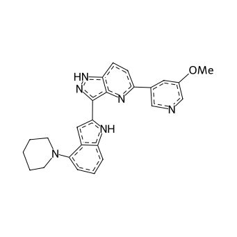 COc1cncc(-c2ccc3[nH]nc(-c4cc5c(N6CCCCC6)cccc5[nH]4)c3n2)c1